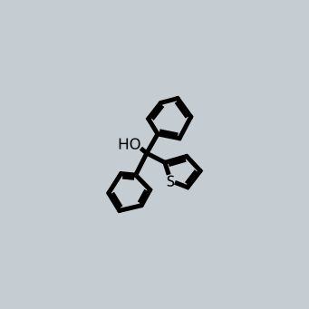 OC(c1ccccc1)(c1ccccc1)c1cccs1